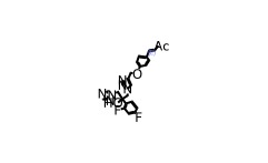 CC(=O)/C=C/c1ccc(OCc2cn(CC(O)(Cn3cncn3)c3ccc(F)cc3F)nn2)cc1